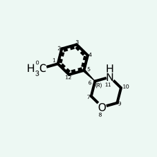 Cc1cccc([C@@H]2COCCN2)c1